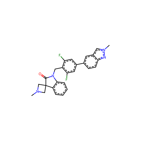 CN1CC2(C1)C(=O)N(Cc1c(F)cc(-c3ccc4nn(C)cc4c3)cc1F)c1ccccc12